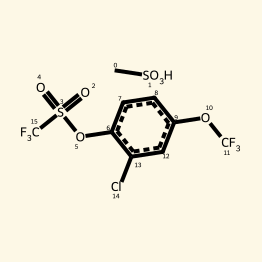 CS(=O)(=O)O.O=S(=O)(Oc1ccc(OC(F)(F)F)cc1Cl)C(F)(F)F